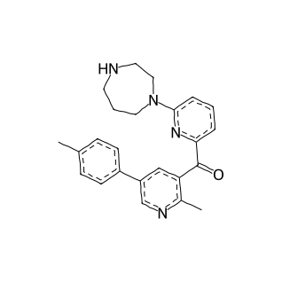 Cc1ccc(-c2cnc(C)c(C(=O)c3cccc(N4CCCNCC4)n3)c2)cc1